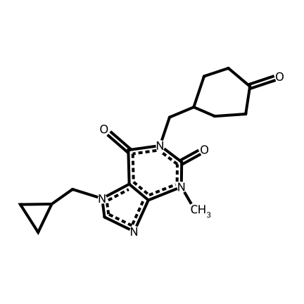 Cn1c(=O)n(CC2CCC(=O)CC2)c(=O)c2c1ncn2CC1CC1